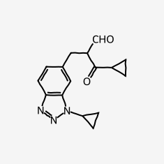 O=CC(Cc1ccc2nnn(C3CC3)c2c1)C(=O)C1CC1